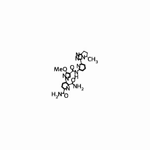 COc1nn(-c2ccc(C(N)=O)nc2C(N)=O)cc1C(=O)Nc1cccc(-c2nnc3n2[C@@H](C)CC3)n1